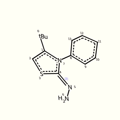 CC(C)(C)c1cs/c(=N\N)n1-c1ccccc1